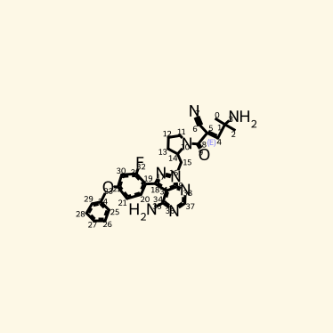 CC(C)(N)/C=C(\C#N)C(=O)N1CCCC1Cn1nc(-c2ccc(Oc3ccccc3)cc2F)c2c(N)ncnc21